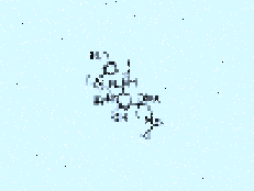 C=C[C@@H](Nc1nc(=O)n(C(C)C)c2c(CO)cc(C3(OC)CCN(C(=O)C4CC4)CC3)cc12)c1cc(N)cc(C(F)(F)F)c1